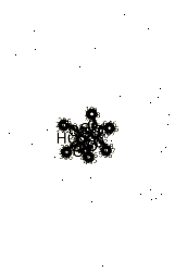 COOC(COCc1ccccc1)[C@@H](OC1OC(COCc2ccccc2)[C@@H](O)C(OCc2ccccc2)C1N1C(=O)c2ccccc2C1=O)C(OCc1ccccc1)[C@@H](C)OCc1ccccc1